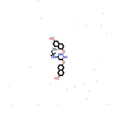 CC(C)(C)CC(C)(C)NC1=NN(Oc2ccc3cc(O)ccc3c2)NC(Oc2ccc3cc(O)ccc3c2)=C1